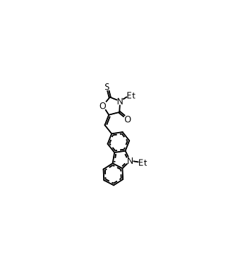 CCN1C(=O)/C(=C\c2ccc3c(c2)c2ccccc2n3CC)OC1=S